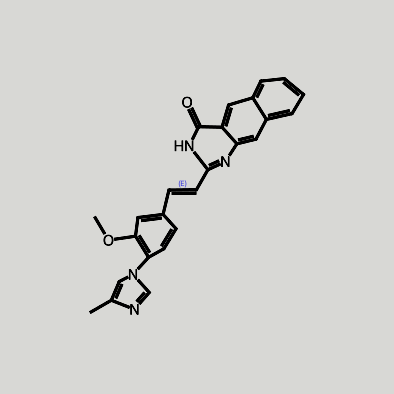 COc1cc(/C=C/c2nc3cc4ccccc4cc3c(=O)[nH]2)ccc1-n1cnc(C)c1